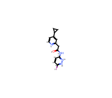 O=C(Cc1cc(C2CC2)ccn1)Nc1ccc(I)nn1